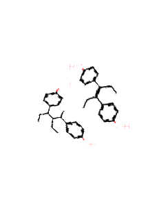 CC/C(=C(/CC)c1ccc(O)cc1)c1ccc(O)cc1.CCC(c1ccc(O)cc1)C(CC)C(C)c1ccc(O)cc1